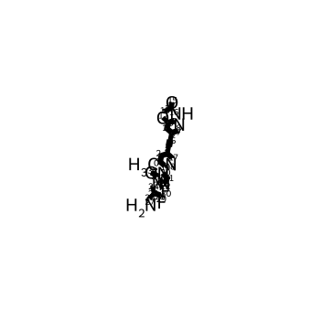 Cc1cc(C#Cc2cnc3c(c2)OCC(=O)N3)cnc1-n1cnn(CC(CN)=C(F)F)c1=O